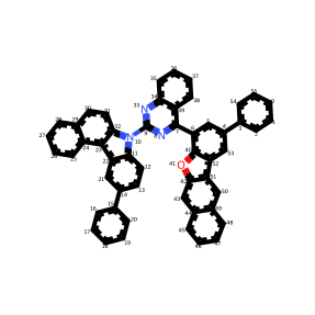 c1ccc(-c2cc(-c3nc(-n4c5ccc(-c6ccccc6)cc5c5c6ccccc6ccc54)nc4ccccc34)c3oc4cc5ccccc5cc4c3c2)cc1